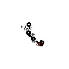 CC1CCCCC1C(=O)Nc1ccc2cc(-c3ccc(NCC(=O)C45CC6CC(C4)C(=O)C(C6)C5)cc3)[nH]c2c1